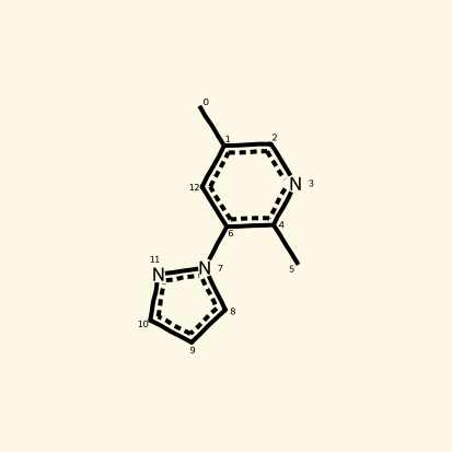 Cc1cnc(C)c(-n2cccn2)c1